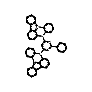 c1ccc(-c2nc(N3c4ccccc4-n4c5ccccc5c5cccc3c54)cc(N3c4ccccc4-n4c5ccccc5c5cccc3c54)n2)cc1